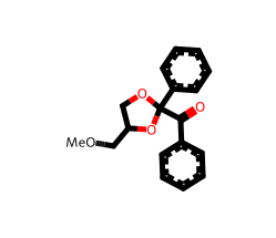 COCC1COC(C(=O)c2ccccc2)(c2ccccc2)O1